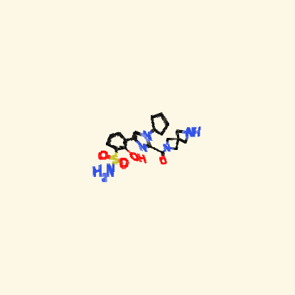 NS(=O)(=O)c1cccc(-c2cn(C3CCCC3)c(C(=O)N3CC4(CNC4)C3)n2)c1O